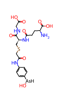 N[C@@H](CCC(=O)N[C@@H](CSCC(=O)Nc1ccc([AsH]O)cc1)C(=O)NCC(=O)O)C(=O)O